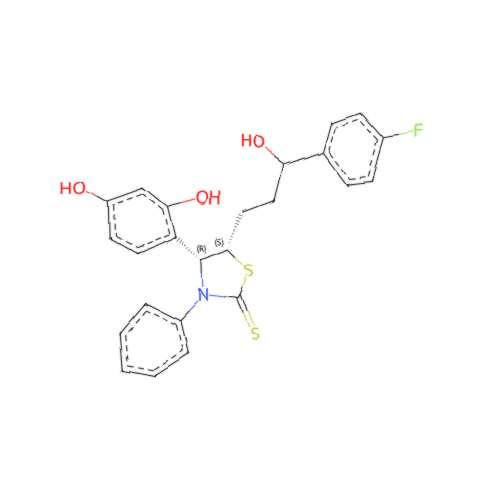 Oc1ccc([C@@H]2[C@H](CCC(O)c3ccc(F)cc3)SC(=S)N2c2ccccc2)c(O)c1